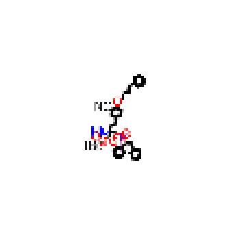 CC(C)(C)OC(=O)NC(CO)(CCc1ccc(OCCCCc2ccccc2)c(C#N)c1)CO[PH](=O)C(Cc1ccccc1)c1ccccc1